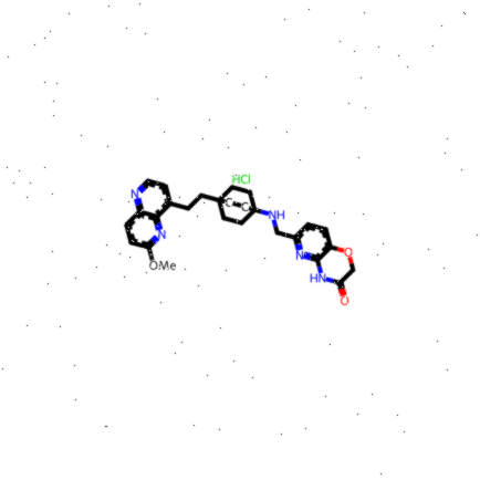 COc1ccc2nccc(CCC34CCC(NCc5ccc6c(n5)NC(=O)CO6)(CC3)CC4)c2n1.Cl